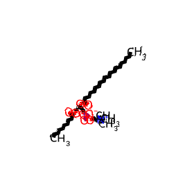 CCCCCCCCCCCCCCCCCCCC(=O)O[C@H](COC(=O)CCCCCCCCC)COP(=O)([O-])OCC[N+](C)(C)C